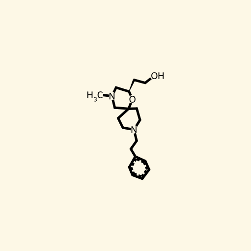 CN1C[C@@H](CCO)OC2(CCN(CCc3ccccc3)CC2)C1